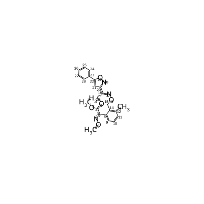 CO/N=C(/C(=O)OC)c1cccc(C)c1CO/N=C(\C)c1cc(-c2ccccc2)on1